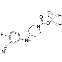 CC(C)(C)OC(=O)N1CCC(Nc2ccc(F)c(C#N)c2)CC1